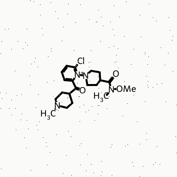 CON(C)C(=O)C1CCN([n+]2c(Cl)cccc2C(=O)C2CCN(C)CC2)CC1